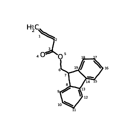 C=C=CC(=O)OCC1c2ccccc2-c2ccccc21